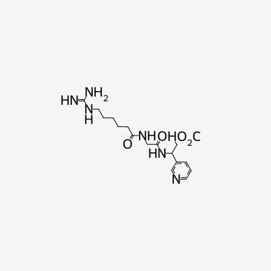 N=C(N)NCCCCCC(=O)NCC(=O)NC(CC(=O)O)c1cccnc1